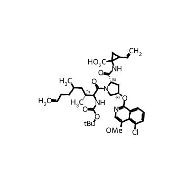 C=CCCC(C)C[C@@H](C)C(NC(=O)OC(C)(C)C)C(=O)N1C[C@H](Oc2ncc(OC)c3c(Cl)cccc23)C[C@H]1C(=O)NC1(C(=O)O)CC1C=C